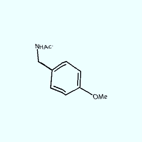 COc1ccc(C[N]C(C)=O)cc1